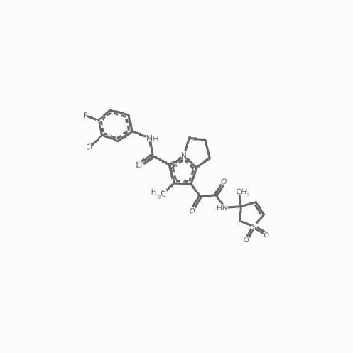 Cc1c(C(=O)C(=O)NC2(C)C=CS(=O)(=O)C2)c2n(c1C(=O)Nc1ccc(F)c(Cl)c1)CCC2